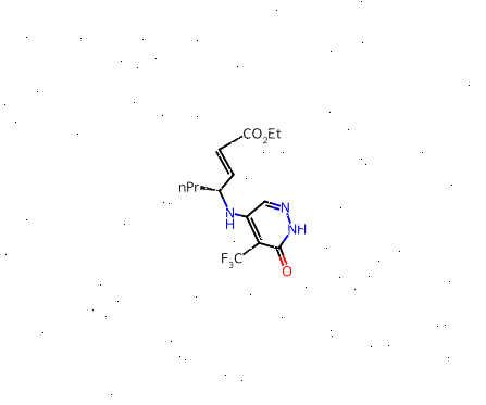 CCC[C@@H](/C=C/C(=O)OCC)Nc1cn[nH]c(=O)c1C(F)(F)F